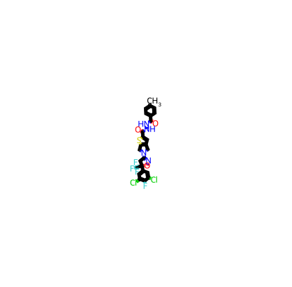 Cc1ccc(C(=O)NNC(=O)c2cc3c(s2)CN(C2=NOC(c4cc(Cl)c(F)c(Cl)c4)(C(F)(F)F)C2)C3)cc1